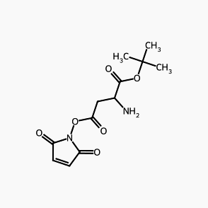 CC(C)(C)OC(=O)C(N)CC(=O)ON1C(=O)C=CC1=O